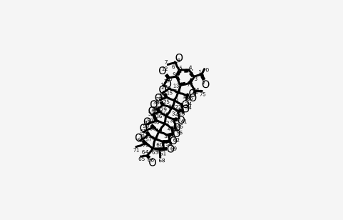 CC(=O)c1[c]c(C(C)=O)c(C(C)=O)c(C(C(C)=O)(C(C)=O)C(C(C)=O)(C(C)=O)C(C(C)=O)(C(C)=O)C(C(C)=O)(C(C)=O)C(C(C)=O)(C(C)=O)C(C(C)=O)(C(C)=O)C(C(C)=O)(C(C)=O)C(C(C)=O)(C(C)=O)C(C)=O)c1C(C)=O